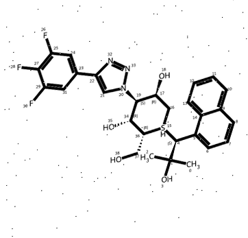 CC(C)(O)[C@H](c1cccc2ccccc12)[SH]1C[C@H](O)[C@H](n2cc(-c3cc(F)c(F)c(F)c3)nn2)[C@@H](O)[C@H]1CO